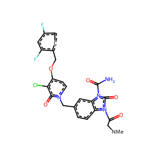 CNCC(=O)n1c(=O)n(C(N)=O)c2cc(Cn3ccc(OCc4ccc(F)cc4F)c(Cl)c3=O)ccc21